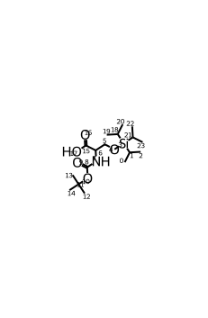 CC(C)[Si](OCC(NC(=O)OC(C)(C)C)C(=O)O)(C(C)C)C(C)C